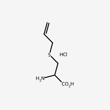 C=CCSCC(N)C(=O)O.Cl